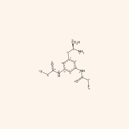 N[C@@H](Cc1cc(NC(=O)CF)cc(NC(=O)CF)c1)C(=O)O